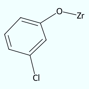 Clc1cccc([O][Zr])c1